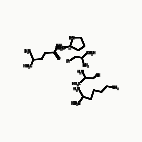 CC(C)CC(N)C(=O)O.NC(=O)CCC(N)C(=O)O.NC(CS)C(=O)O.NCCCCC(N)C(=O)O.O=C(O)[C@@H]1CCCN1